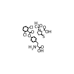 CC(=O)N1CCC(=S)[C@H]1C(=O)O.N[C@H](Cc1ccc(OC(=O)c2c(Cl)cccc2Cl)cc1)C(=O)O